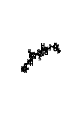 CCc1cnc(CCNC(=O)Nc2nc(C)c(-c3cc(C)nc(NCCCn4ccnc4)n3)s2)o1